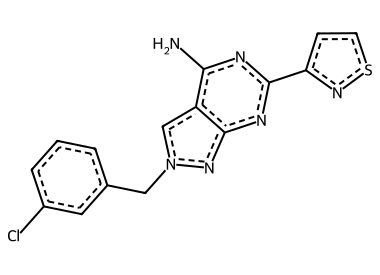 Nc1nc(-c2ccsn2)nc2nn(Cc3cccc(Cl)c3)cc12